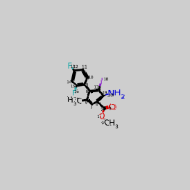 COC(=O)c1cc(C)c(-c2ccc(F)cc2F)c(I)c1N